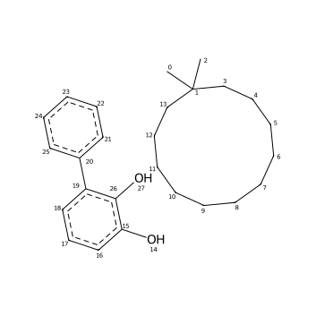 CC1(C)CCCCCCCCCCC1.Oc1cccc(-c2ccccc2)c1O